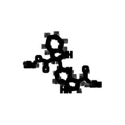 CC(C)(C)OC(=O)c1c(-c2cnc3[nH]cc(C(=O)C(C)(C)C)c3n2)[nH]c2ccccc12